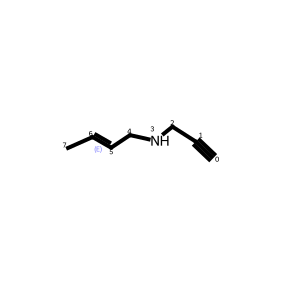 C#CCNC/C=C/C